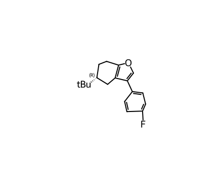 CC(C)(C)[C@@H]1CCc2occ(-c3ccc(F)cc3)c2C1